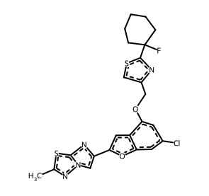 Cc1nn2cc(-c3cc4c(OCc5csc(C6(F)CCCCC6)n5)cc(Cl)cc4o3)nc2s1